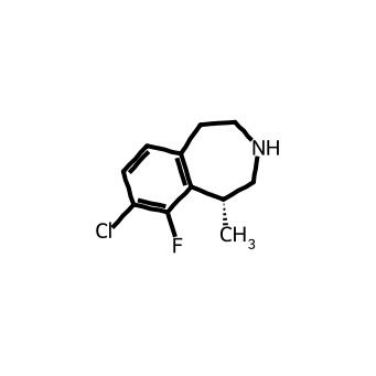 C[C@H]1CNCCc2ccc(Cl)c(F)c21